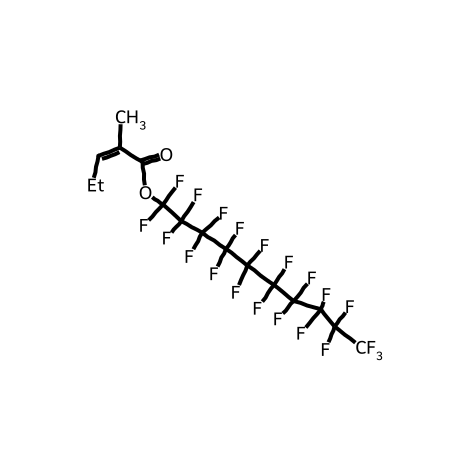 CCC=C(C)C(=O)OC(F)(F)C(F)(F)C(F)(F)C(F)(F)C(F)(F)C(F)(F)C(F)(F)C(F)(F)C(F)(F)C(F)(F)F